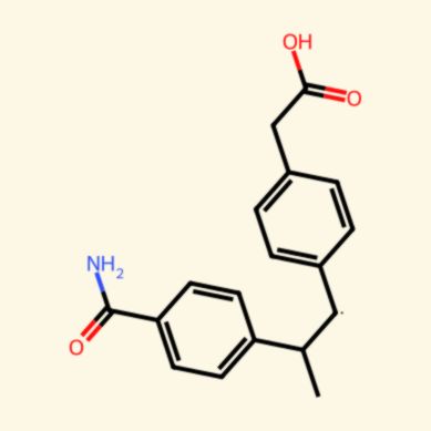 CC([CH]c1ccc(CC(=O)O)cc1)c1ccc(C(N)=O)cc1